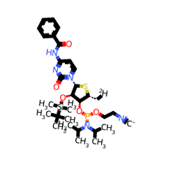 [2H]C[C@H]1S[C@@H](n2ccc(NC(=O)c3ccccc3)nc2=O)[C@H](O[Si](C)(C)C(C)(C)C)[C@@H]1OP(OCC[N+]#[C-])N(C(C)C)C(C)C